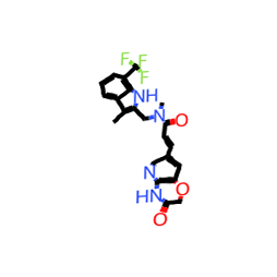 Cc1c(CN(C)C(=O)/C=C/c2cnc3c(c2)OCC(=O)N3)[nH]c2c(C(F)(F)F)cccc12